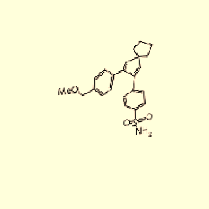 COCc1ccc(C2=CC3(C=C2c2ccc(S(N)(=O)=O)cc2)CCCC3)cc1